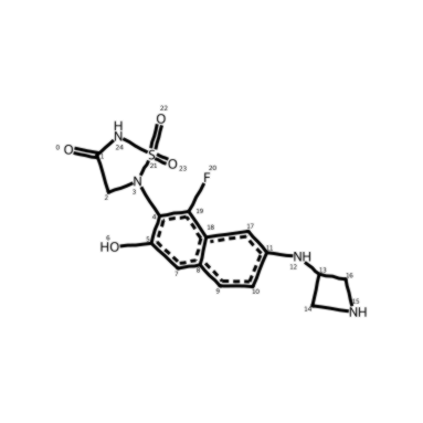 O=C1CN(c2c(O)cc3ccc(NC4CNC4)cc3c2F)S(=O)(=O)N1